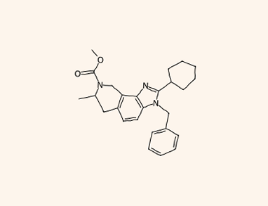 COC(=O)N1Cc2c(ccc3c2nc(C2CCCCC2)n3Cc2ccccc2)CC1C